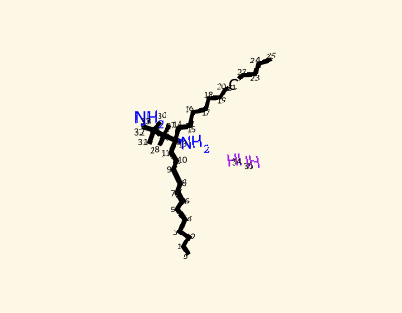 CCCCCCCCCCCCC(N)(CCCCCCCCCCCC)C(C)(C)C(C)(C)CN.I.I